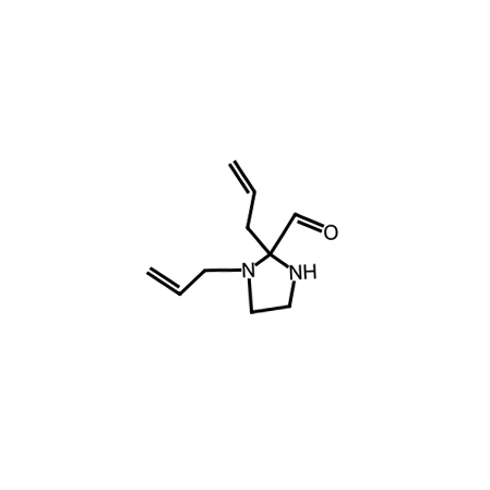 C=CCN1CCNC1(C=O)CC=C